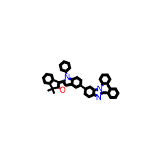 CC1(C)c2ccccc2-c2c1oc1c3cc(-c4ccc5nc6c7ccccc7c7ccccc7n6c5c4)ccc3n(-c3ccccc3)c21